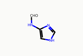 O=CNc1[c][nH]cn1